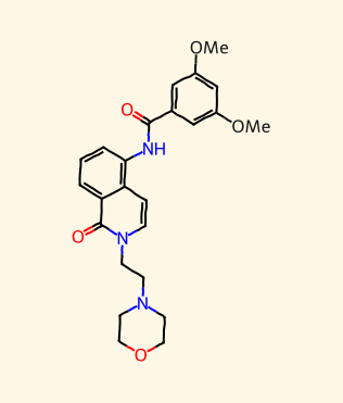 COc1cc(OC)cc(C(=O)Nc2cccc3c(=O)n(CCN4CCOCC4)ccc23)c1